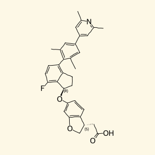 Cc1cc(-c2cc(C)c(-c3ccc(F)c4c3CC[C@H]4Oc3ccc4c(c3)OC[C@H]4CC(=O)O)c(C)c2)cc(C)n1